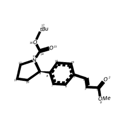 COC(=O)/C=C/c1ccc([C@H]2CCCN2C(=O)OC(C)(C)C)cc1